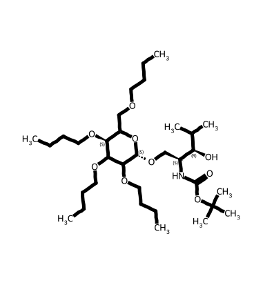 CCCCOCC1O[C@H](OC[C@H](NC(=O)OC(C)(C)C)[C@H](O)C(C)C)C(OCCCC)C(OCCCC)[C@H]1OCCCC